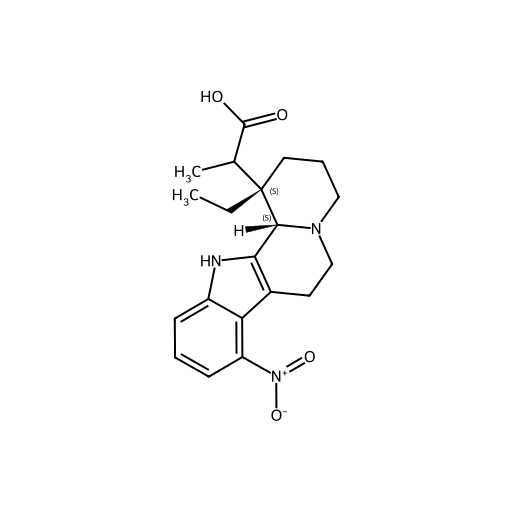 CC[C@@]1(C(C)C(=O)O)CCCN2CCc3c([nH]c4cccc([N+](=O)[O-])c34)[C@@H]21